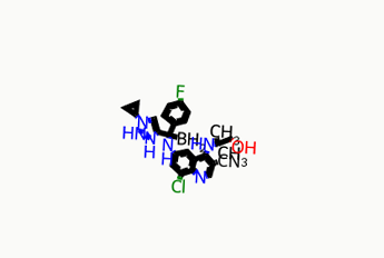 BC(Nc1cc(Cl)c2ncc(C#N)c(NC(C)(C)CO)c2c1)(C1=CN(C2CC2)NN1)c1ccc(F)cc1